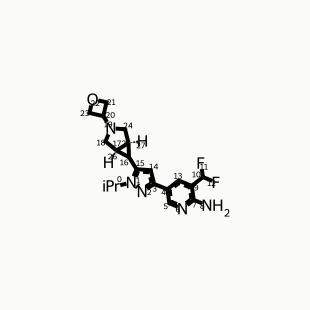 CC(C)n1nc(-c2cnc(N)c(C(F)F)c2)cc1C1[C@H]2CN(C3COC3)C[C@@H]12